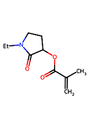 C=C(C)C(=O)OC1CCN(CC)C1=O